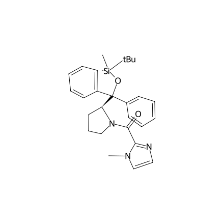 Cn1ccnc1C(=O)N1CCC[C@H]1C(O[Si](C)(C)C(C)(C)C)(c1ccccc1)c1ccccc1